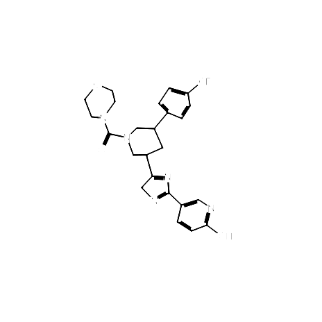 Cc1ccc(C2=NCC(C3CC(c4ccc(C(F)(F)F)cc4)CN(C(=O)N4CCOCC4)C3)=N2)cn1